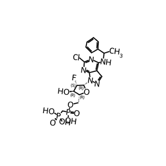 CC(Nc1nc(Cl)nc2c1cnn2[C@@H]1O[C@H](COP(=O)(O)CP(=O)(O)O)[C@@H](O)[C@@H]1F)c1ccccc1